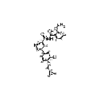 COc1ncccc1C(C)NC(=O)c1cnnc(-c2ccc(OCC3CC3)c(Cl)c2)c1